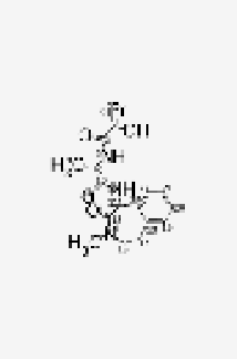 CC(C)[C@H](O)C(=O)N[C@@H](C)C(=O)NC1C(=O)N(C)CCc2ccccc21